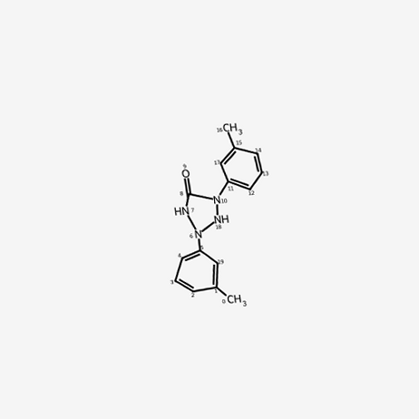 Cc1cccc(N2NC(=O)N(c3cccc(C)c3)N2)c1